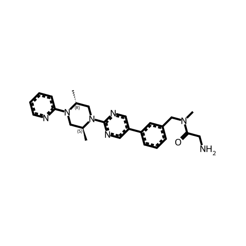 C[C@@H]1CN(c2ncc(-c3cccc(CN(C)C(=O)CN)c3)cn2)[C@@H](C)CN1c1ccccn1